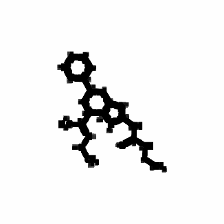 CCNC(=O)Nc1nc2cc(-c3cccnc3)cc(C(C)=NOC)n2n1